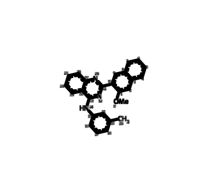 COc1cc2ccccc2cc1-c1nc(Nc2cccc(C)c2)c2ccccc2n1